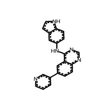 c1cncc(-c2ccc3ncnc(Nc4ccc5[nH]ccc5c4)c3c2)c1